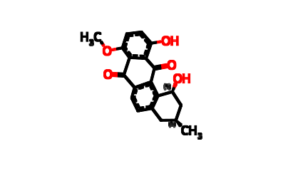 COc1ccc(O)c2c1C(=O)c1ccc3c(c1C2=O)[C@@H](O)C[C@@H](C)C3